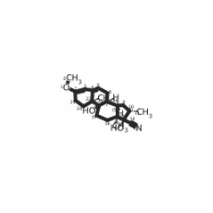 COC1=CC2=CC[C@H]3[C@@H]4C[C@H](C)[C@](O)(C#N)[C@@]4(C)CC[C@]3(O)[C@@]2(C)CC1